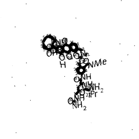 CNC(=O)c1cc(NC(=O)[C@H](CCCNC(N)=O)NC(=O)[C@@H](N)C(C)C)ccc1COC(=O)N(C)Cc1ccc2c(c1)C(=O)c1c(O)cc3c(c1C2=O)N[C@H]1C#C/C=C\C#C[C@@H](O)[C@@]32O[C@@]12[C@@H](C)O